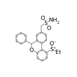 CC[S+]([O-])c1cccc2c1-c1ccc(CS(N)(=O)=O)cc1C(c1ccccc1)O2